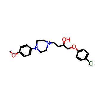 COc1ccc(N2CCN(CCC(O)COc3ccc(Cl)cc3)CC2)cc1